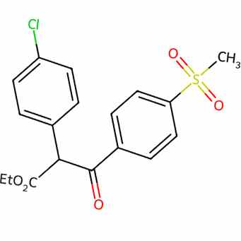 CCOC(=O)C(C(=O)c1ccc(S(C)(=O)=O)cc1)c1ccc(Cl)cc1